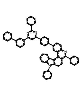 c1ccc(-c2cccc(-c3cc(-c4ccc(-c5ccc6nc(-c7ccccc7)c7ccc8c(c9ccccc9n8-c8ccccc8)c7c6c5)cc4)nc(-c4ccccc4)n3)c2)cc1